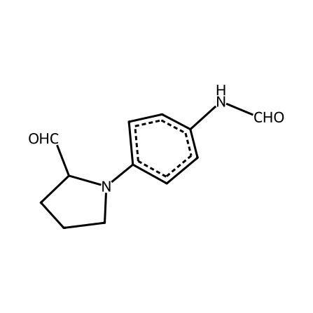 O=CNc1ccc(N2CCCC2C=O)cc1